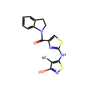 N#Cc1c(O)nsc1Nc1nc(C(=O)N2CCc3ccccc32)cs1